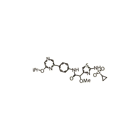 COC(C(=O)Nc1ccc(-c2cncc(OC(C)C)n2)cc1)c1csc(NS(=O)(=O)C2CC2)n1